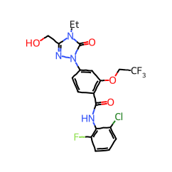 CCn1c(CO)nn(-c2ccc(C(=O)Nc3c(F)cccc3Cl)c(OCC(F)(F)F)c2)c1=O